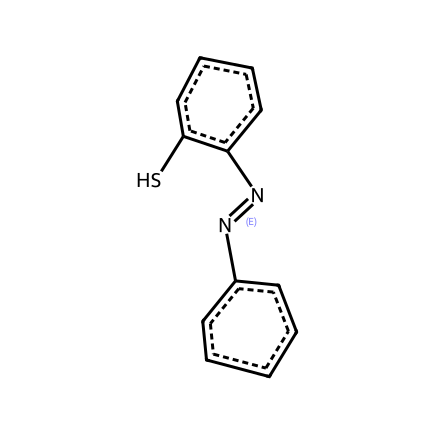 Sc1ccccc1/N=N/c1ccccc1